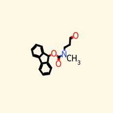 CN(CCC=O)C(=O)OC1c2ccccc2-c2ccccc21